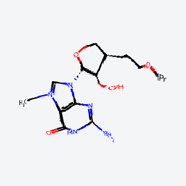 CC(C)OCC[C@@H]1CO[C@@H](n2c[n+](C)c3c(=O)[nH]c(N)nc32)[C@@H]1O